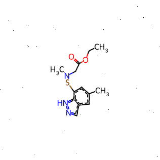 CCOC(=O)CN(C)Sc1cc(C)cc2cn[nH]c12